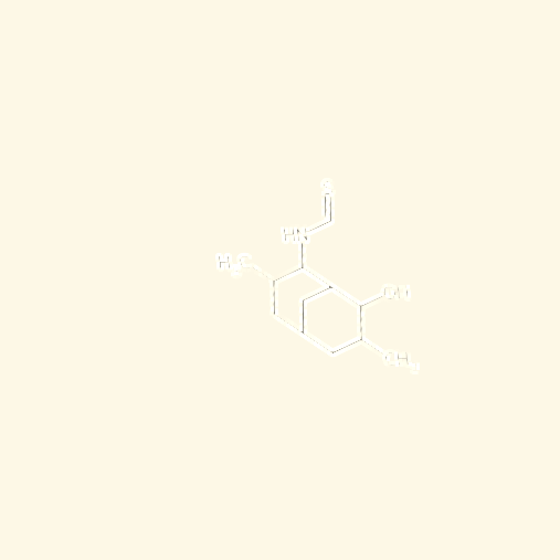 CC1CC2CC(C)C(NC=S)C(C2)C1O